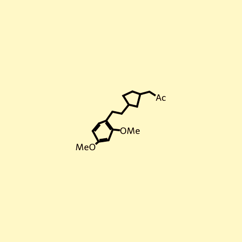 COc1ccc(CCC2CCC(CC(C)=O)C2)c(OC)c1